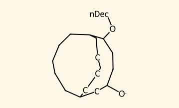 [CH2]CCCCCCCCCOC1CCC([O])CC2CCCCCC1CCCCC2